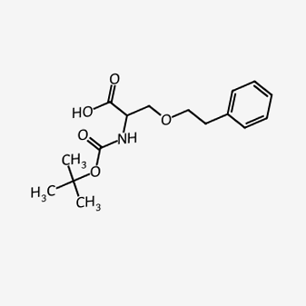 CC(C)(C)OC(=O)NC(COCCc1ccccc1)C(=O)O